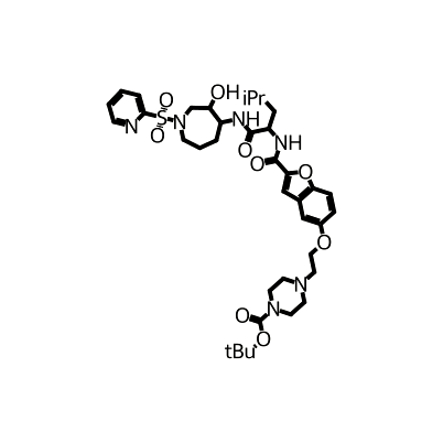 CC(C)CC(NC(=O)c1cc2cc(OCCN3CCN(C(=O)OC(C)(C)C)CC3)ccc2o1)C(=O)NC1CCCN(S(=O)(=O)c2ccccn2)CC1O